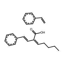 C=Cc1ccccc1.CCCCC=C(C=Cc1ccccc1)C(=O)O